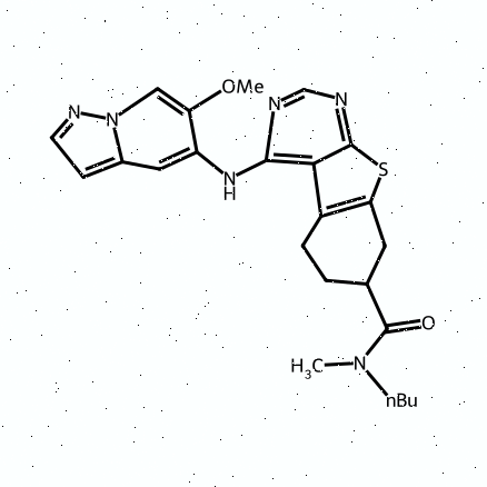 CCCCN(C)C(=O)C1CCc2c(sc3ncnc(Nc4cc5ccnn5cc4OC)c23)C1